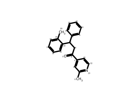 Cc1cc(C(=O)CC(c2ccccc2)c2ccccc2C)ccn1